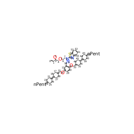 C=CC(=O)COCCN(/N=C/c1cc(OCC2CCC(C3CCC(CCCCC)CC3)CC2)ccc1OCC1CCC(C2CCC(CCCCC)CC2)CC1)c1nc2ccccc2s1